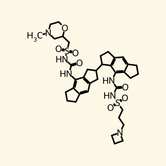 CN1CCOC(CS(=O)(=O)NC(=O)Nc2c3c(cc4c2CC(C2CCc5cc6c(c(NC(=O)NS(=O)(=O)CCCN7CCC7)c52)CCC6)C4)CCC3)C1